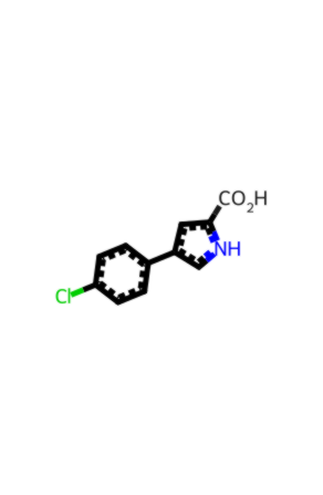 O=C(O)c1cc(-c2ccc(Cl)cc2)c[nH]1